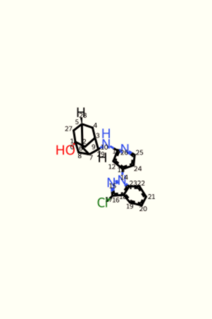 OC12CC3C[C@H](CC(C1)[C@@H]3Nc1cc(-n3nc(Cl)c4ccccc43)ccn1)C2